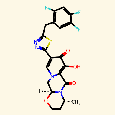 C[C@@H]1CCO[C@H]2Cn3cc(-c4nnc(Cc5cc(F)c(F)cc5F)s4)c(=O)c(O)c3C(=O)N12